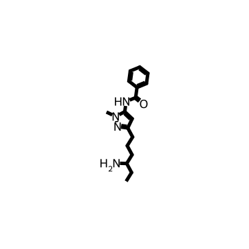 CCC(N)CCCc1cc(NC(=O)c2ccccc2)n(C)n1